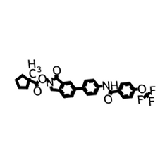 CC1(C(=O)ON2Cc3ccc(-c4ccc(NC(=O)c5ccc(OC(F)(F)F)cc5)cc4)cc3C2=O)CCCC1